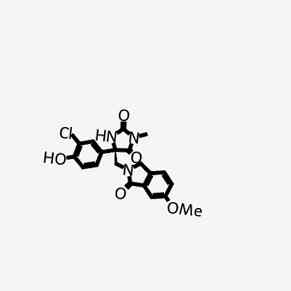 COc1ccc2c(c1)C(=O)N(C[C@@]1(c3ccc(O)c(Cl)c3)NC(=O)N(C)C1=O)C2